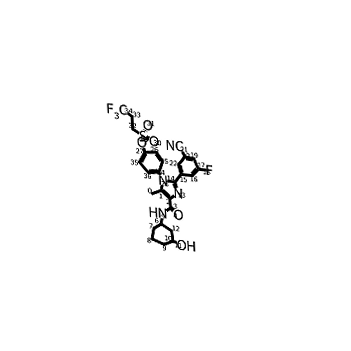 Cc1c(C(=O)NC2CCCC(O)C2)nc(-c2cc(F)cc(C#N)c2)n1-c1ccc(OS(=O)(=O)CCC(F)(F)F)cc1